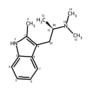 Cc1[nH]c2ccccc2c1C[C@@H](C)N(C)C